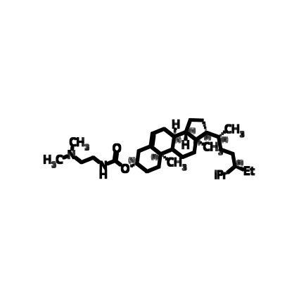 CC[C@H](CC[C@@H](C)[C@H]1CC[C@H]2[C@@H]3CC=C4C[C@@H](OC(=O)NCCN(C)C)CC[C@]4(C)C3CC[C@]12C)C(C)C